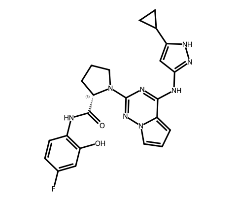 O=C(Nc1ccc(F)cc1O)[C@@H]1CCCN1c1nc(Nc2cc(C3CC3)[nH]n2)c2cccn2n1